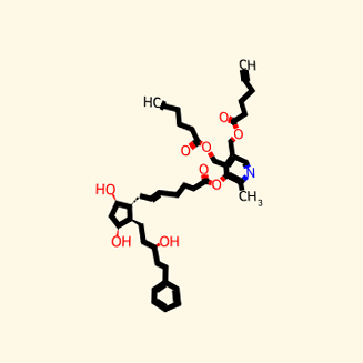 C#CCCCC(=O)OCc1cnc(C)c(OC(=O)CCCC=CC[C@@H]2[C@@H](CC[C@@H](O)CCc3ccccc3)[C@H](O)C[C@@H]2O)c1COC(=O)CCCC#C